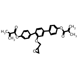 C=C(C)C(=O)Oc1ccc(-c2ccc(-c3ccc(OC(=O)C(=C)C)cc3)c(OCC3CO3)c2)cc1